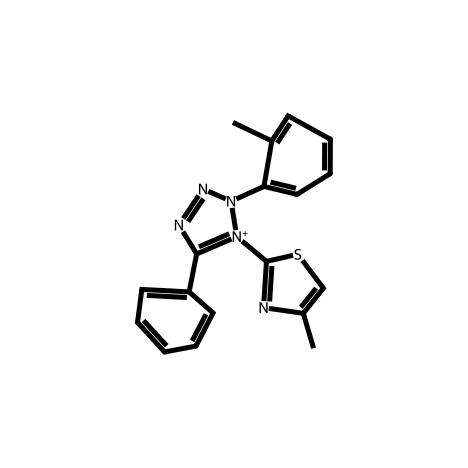 Cc1csc(-[n+]2c(-c3ccccc3)nnn2-c2ccccc2C)n1